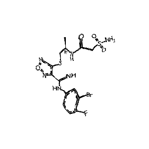 C[C@H](CSc1nonc1C(=N)Nc1ccc(F)c(Br)c1)NC(=O)CS(N)(=O)=O